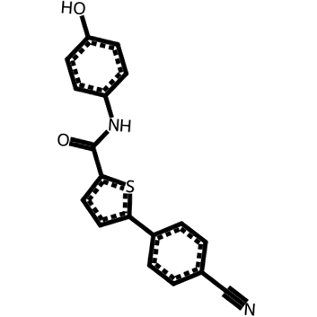 N#Cc1ccc(-c2ccc(C(=O)Nc3ccc(O)cc3)s2)cc1